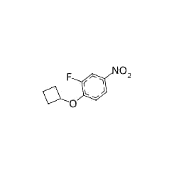 O=[N+]([O-])c1ccc(OC2CCC2)c(F)c1